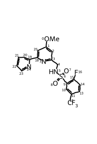 COc1cc(CNS(=O)(=O)c2cc(C(F)(F)F)ccc2F)nc(-c2ccccn2)c1